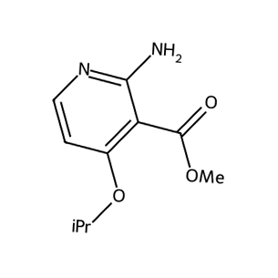 COC(=O)c1c(OC(C)C)ccnc1N